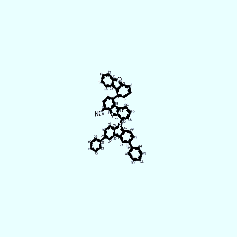 N#Cc1ccc(-c2cccc3oc4ccccc4c23)c2c1sc1c(-n3c4ccc(-c5ccccc5)cc4c4cc(-c5ccccc5)ccc43)cccc12